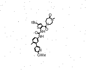 COc1ccc(-c2cc(NC(=O)Nc3sc(C(C)(C)C)cc3C(=O)N3CCC(=O)N(C)CC3)ccc2C)cn1